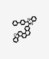 c1ccc(-c2ccc(-c3nc4ccccc4nc3-c3ccc4c(ccc5ccc6c(ccc7oc8ccccc8c76)c54)c3)cc2)cc1